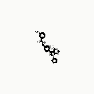 N#Cc1cccc(C(=O)NCc2ccc(-c3nn(C4CCCC4)c4ncnc(N)c34)cc2)c1